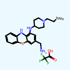 CNCCN1CCC(Nc2cc(CN)cc3c2Nc2ccccc2S3)CC1.O=C(O)C(F)(F)F